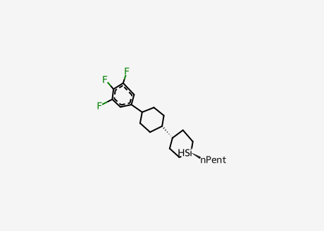 CCCCC[Si@H]1CC[C@H](C2CCC(c3cc(F)c(F)c(F)c3)CC2)CC1